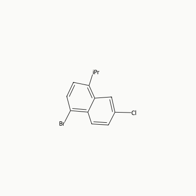 CC(C)c1ccc(Br)c2ccc(Cl)cc12